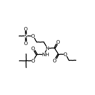 CCOC(=O)C(=O)N(CCOS(C)(=O)=O)NC(=O)OC(C)(C)C